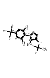 CC(F)(F)Sc1cnn(-c2c(Cl)cc(C(F)(F)F)cc2Cl)c1Br